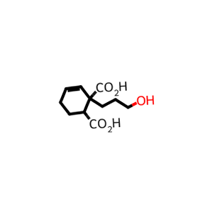 O=C(O)C1CCC=CC1(CCCO)C(=O)O